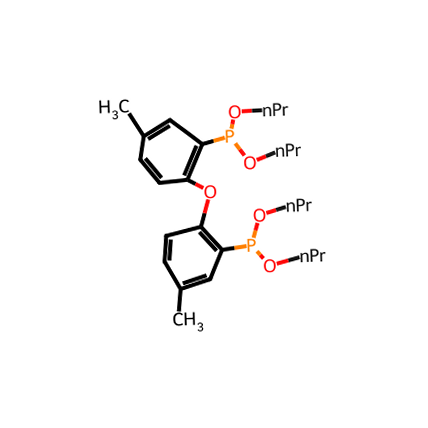 CCCOP(OCCC)c1cc(C)ccc1Oc1ccc(C)cc1P(OCCC)OCCC